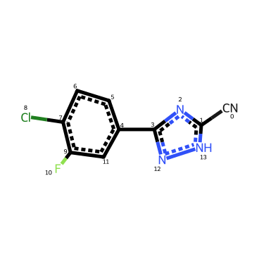 N#Cc1nc(-c2ccc(Cl)c(F)c2)n[nH]1